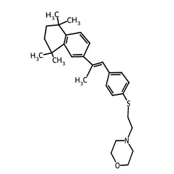 CC(=Cc1ccc(SCCN2CCOCC2)cc1)c1ccc2c(c1)C(C)(C)CCC2(C)C